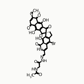 COC1=CC(=O)c2c(O)c3c(c(O)c2C1=O)C(=O)[C@]1(CCc2c1c(O)c1c(=O)[nH]c(/C=N/NC(=O)CNC(C)=O)cc1c2Br)C3=O